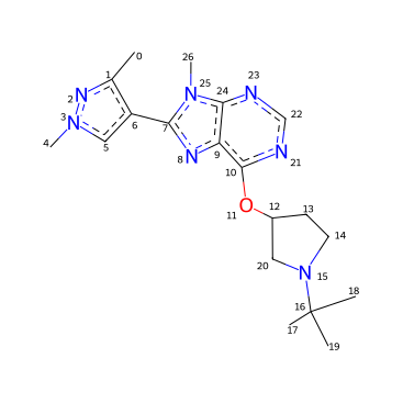 Cc1nn(C)cc1-c1nc2c(OC3CCN(C(C)(C)C)C3)ncnc2n1C